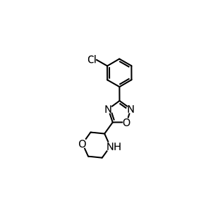 Clc1cccc(-c2noc(C3COCCN3)n2)c1